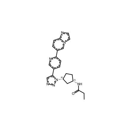 CCC(=O)N[C@H]1CC[C@@H](n2nncc2-c2ccc(-c3ccc4nccn4c3)nc2)C1